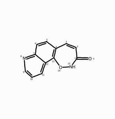 O=C1C=Cc2ccc3ncccc3c2ON1